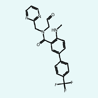 CNc1ccc(-c2ccc(C(F)(F)F)cc2)cc1C(=O)N(CC=O)Cc1ncccn1